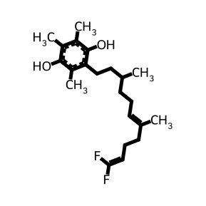 C/C(=C\CCC(C)CCc1c(C)c(O)c(C)c(C)c1O)CCC=C(F)F